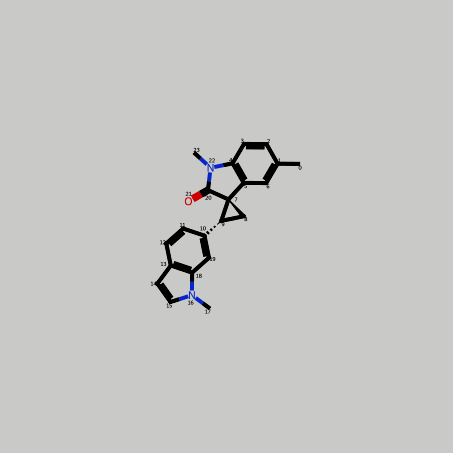 Cc1ccc2c(c1)[C@@]1(C[C@@H]1c1ccc3ccn(C)c3c1)C(=O)N2C